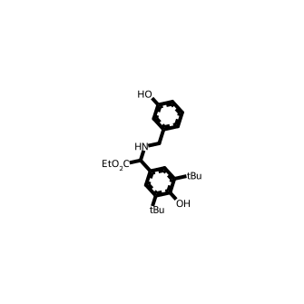 CCOC(=O)C(NCc1cccc(O)c1)c1cc(C(C)(C)C)c(O)c(C(C)(C)C)c1